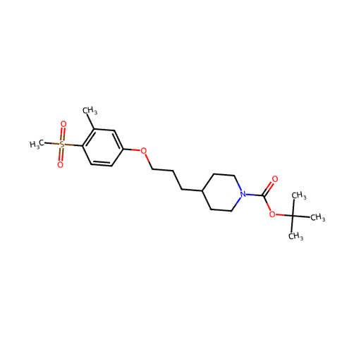 Cc1cc(OCCCC2CCN(C(=O)OC(C)(C)C)CC2)ccc1S(C)(=O)=O